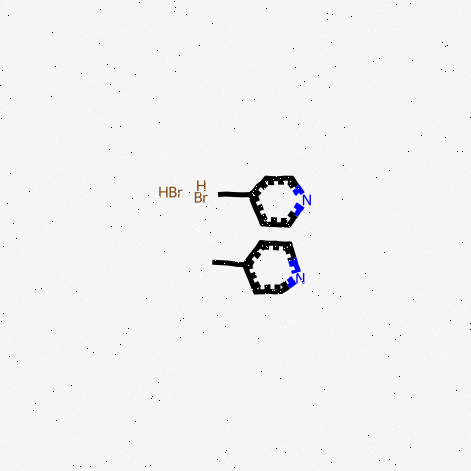 Br.Br.Cc1ccncc1.Cc1ccncc1